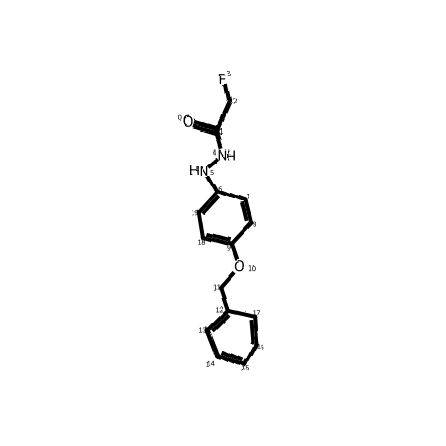 O=C(CF)NNc1ccc(OCc2ccccc2)cc1